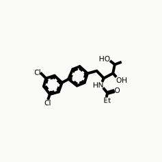 CCC(=O)NC(Cc1ccc(-c2cc(Cl)cc(Cl)c2)cc1)C(O)C(C)O